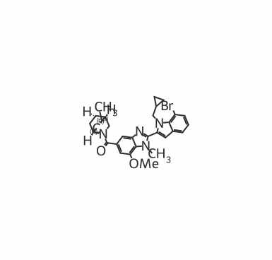 COc1cc(C(=O)N2C[C@H]3CC[C@@H]2C[C@H]3C)cc2nc(-c3cc4cccc(Br)c4n3CC3CC3)n(C)c12